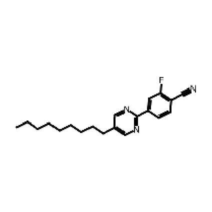 CCCCCCCCCc1cnc(-c2ccc(C#N)c(F)c2)nc1